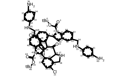 CC(C)(C)OC(=O)n1c(-c2ccc(Cl)c3c2C(C(=O)C2NCc4c(Cl)ccc(-c5cc6cc(CNc7ccc(N)cc7)ccc6n5C(=O)OC(C)(C)C)c42)NC3)cc2cc(CNc3ccc(N)cc3)ccc21